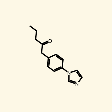 CCCC(=O)Cc1ccc(-n2ccnc2)cc1